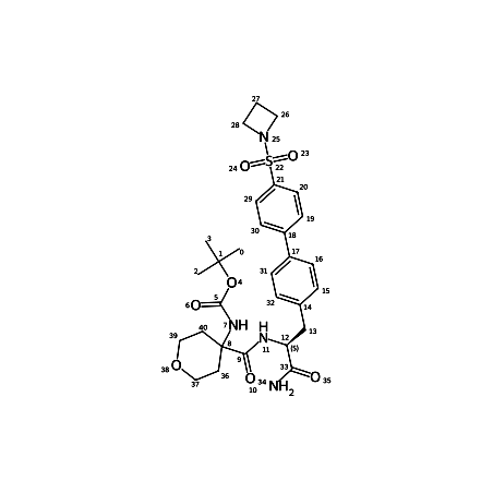 CC(C)(C)OC(=O)NC1(C(=O)N[C@@H](Cc2ccc(-c3ccc(S(=O)(=O)N4CCC4)cc3)cc2)C(N)=O)CCOCC1